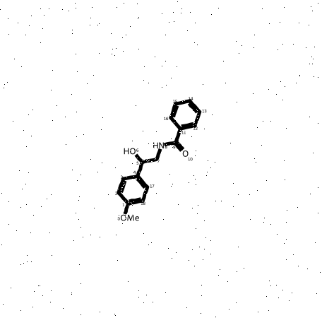 COc1ccc(C(O)CNC(=O)c2ccccc2)cc1